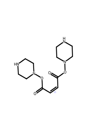 O=C(/C=C\C(=O)ON1CCNCC1)ON1CCNCC1